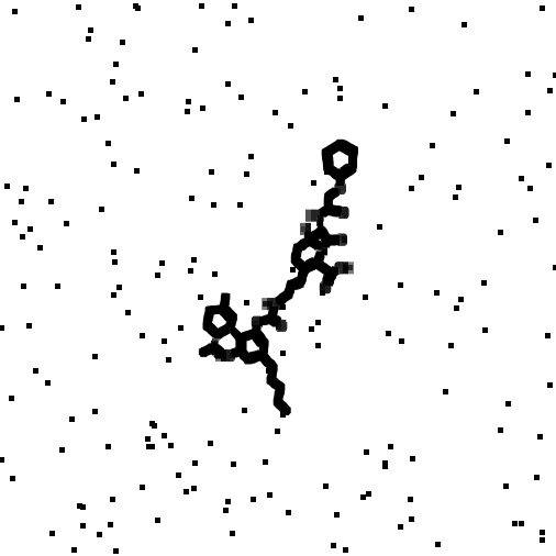 C=C(C)[C@@H]1CCC(C)=C[C@H]1c1c(O)cc(CCCCC)cc1OC(=O)NC/C=C/C1=C(C(=O)O)N2C(=O)[C@@H](NC(=O)COc3ccccc3)[C@H]2CC1